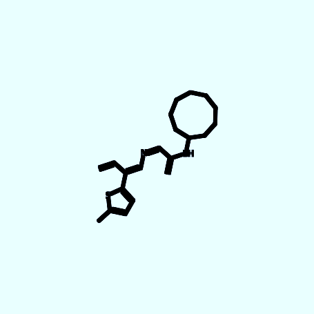 C=C/C(=C\N=C/C(=C)BC1CCCCCCCC1)c1ccc(C)s1